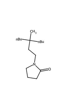 CCCCC(C)(CCCC)CCN1CCCC1=O